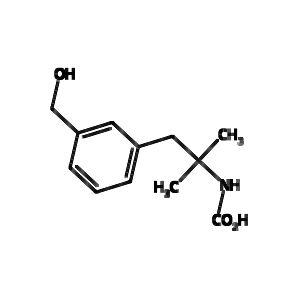 CC(C)(Cc1cccc(CO)c1)NC(=O)O